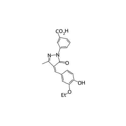 CCOc1cc(/C=C2\C(=O)N(c3cccc(C(=O)O)c3)N=C2C)ccc1O